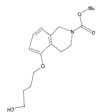 CC(C)(C)OC(=O)N1CCc2c(cccc2OCCCCO)C1